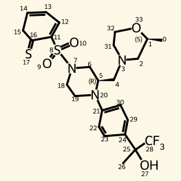 C[C@H]1CN(C[C@@H]2CN(S(=O)(=O)C3=CC=CCC3=S)CCN2c2ccc(C(C)(O)C(F)(F)F)cc2)CCO1